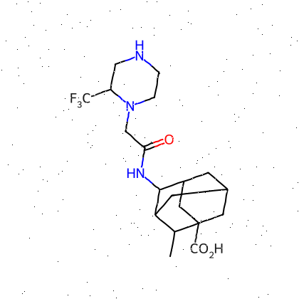 CC1C2CC3CC(CC1(C(=O)O)C3)C2NC(=O)CN1CCNCC1C(F)(F)F